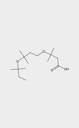 CCC(C)(C)OC(C)(C)CCOC(C)(C)CC(=O)O